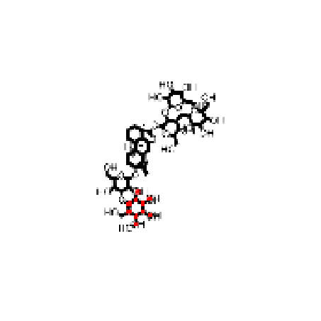 C=C1C[C@@]23CCC4[C@](C)(C(=O)OC5OC(CO)C(O)C(CC6OC(CO)C(O)C(O)C6O)C5OC5OC(CO)C(O)C(O)C5O)CCC[C@@]4(C)[C@@H]2CC[C@]1(OC1OC(CO)C(O)C(OC2OC(CO)C(O)C(O)C2O)C1OC1OC(CO)C(O)C(O)C1O)C3